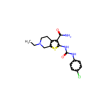 CCN1CCc2c(sc(NC(=O)Nc3ccc(Cl)cc3)c2C(N)=O)C1